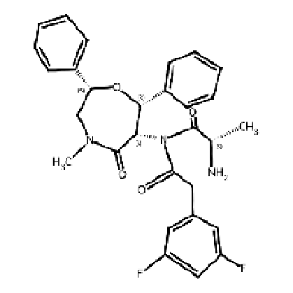 C[C@H](N)C(=O)N(C(=O)Cc1cc(F)cc(F)c1)[C@@H]1C(=O)N(C)C[C@H](c2ccccc2)O[C@@H]1c1ccccc1